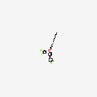 CCCCCCCCCCCCOc1ccc(-c2ccc(F)c(F)c2)cc1-c1ccc(F)c(F)c1